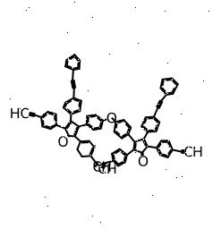 C#CC1=CC=C(C2=C(c3ccc(Oc4ccc(C5=C(c6ccc(C#C)cc6)C(=O)C(c6ccc(C#C)cc6)=C5c5ccc(C#Cc6ccccc6)cc5)cc4)cc3)C(c3ccc(C#Cc4ccccc4)cc3)=C(c3ccc(C#C)cc3)C2=O)CC1